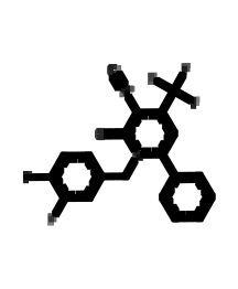 [C-]#[N+]c1c(C(F)(F)F)cc(-c2ccccc2)n(Cc2ccc(F)c(F)c2)c1=O